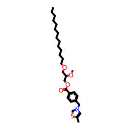 CCCCCCCCCCCCCCOCC(COC(=O)c1ccc(CN2C=C(C)SC2)cc1)OC